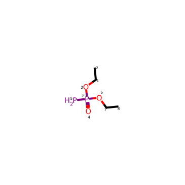 CCOP(=O)(P)OCC